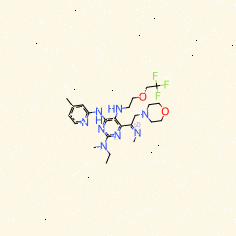 CCN(C)c1nc(Nc2cc(C)ccn2)c(NCCOCC(F)(F)F)c(/C(CN2CCOCC2)=N\C)n1